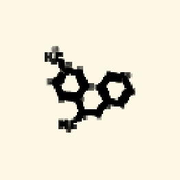 CC(Cc1ccncc1)c1cc[n+](C)cc1